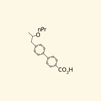 CCCOC(C)Cc1ccc(-c2ccc(C(=O)O)cc2)cc1